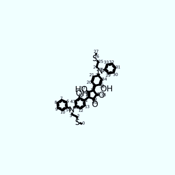 CSCCN(c1ccccc1)c1ccc(C2=C(O)/C(=C3C=C/C(=[N+](\CCSC)c4ccccc4)C=C\3O)C(=O)C2=O)c(O)c1